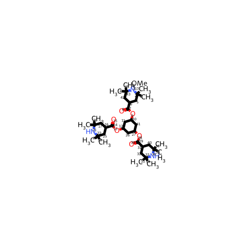 CON1C(C)(C)CC(C(=O)OC2CC(OC(=O)C3CC(C)(C)NC(C)(C)C3)CC(OC(=O)C3CC(C)(C)NC(C)(C)C3)C2)CC1(C)C